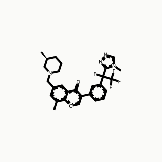 Cc1cc(CN2CCC[C@H](C)C2)cc2c(=O)c(-c3cccc(C(F)(c4nncn4C)C(F)(F)F)c3)coc12